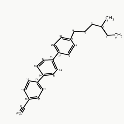 CCC(C)CCCc1ccc(-c2ccc(-c3ccc(C#N)cc3)cc2)cc1